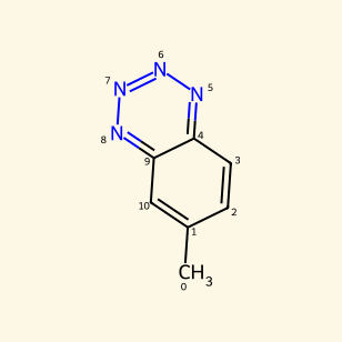 Cc1ccc2nnnnc2c1